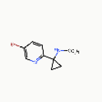 O=C(O)NC1(c2ccc(Br)cn2)CC1